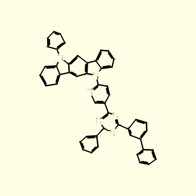 c1ccc(-c2cccc(C3=NC(c4ccc(-n5c6ccccc6c6cc7c(cc65)c5ccccc5n7-c5ccccc5)nc4)=NC(c4ccccc4)N3)c2)cc1